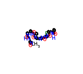 CN1CC(CNCC(=O)N2CCCC(c3cccc(C(=O)N[C@@H](C(=O)N4CCC(CN5CCN(CC(=O)N6CCN(C(=O)c7cc(Cc8n[nH]c(=O)c9ccccc89)ccc7F)CC6)CC5)CC4)C4CCCCC4)c3)C2)CCC1=O